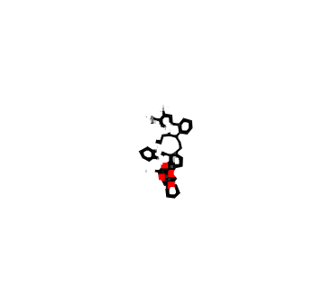 C=C1CC2C(CCc3ccc4c(sc5ccccc54)c3-c3n(-c4c(C(C)C)cc(-c5ccccc5)cc4C(C)C)c4ccccc4[n+]31)c1ccccc1-c1cc(C(C)C)c([Si](C)(C)C)c[n+]12